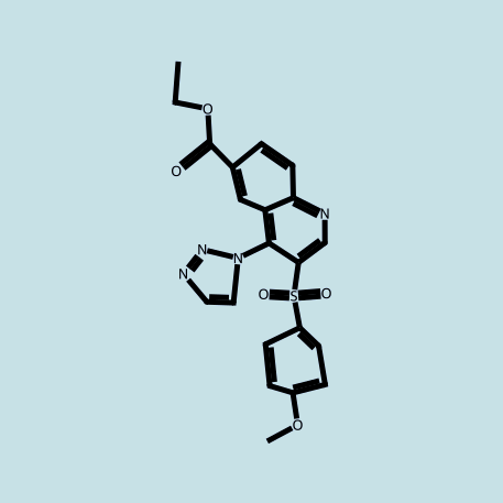 CCOC(=O)c1ccc2ncc(S(=O)(=O)c3ccc(OC)cc3)c(-n3ccnn3)c2c1